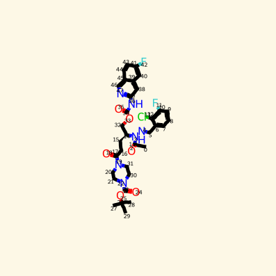 CC(=O)N(NCc1cccc(F)c1Cl)[C@@H](CCC(=O)N1CCN(C(=O)OC(C)(C)C)CC1)COC(=O)Nc1cc2cc(F)ccc2cn1